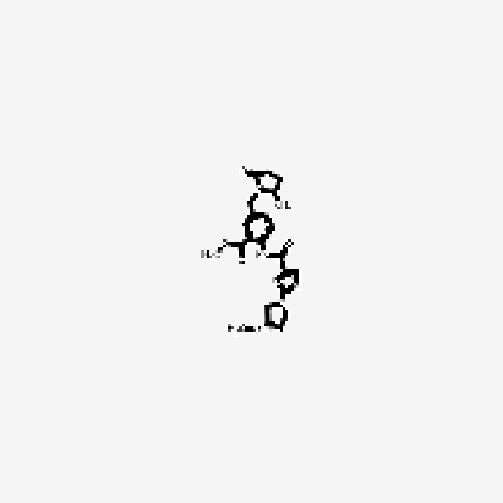 COC(=O)c1cc(CN2C(=O)CCC2C)ccc1NC(=O)c1csc(N2CC[C@H](OC)C2)n1